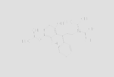 Cc1c(OC(C)C)ccc(O)c1C(CCN(C(C)C)C(C)C)c1ccccc1